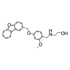 COc1cc(OCc2ccc3oc4ccccc4c3c2)ccc1CNCCO